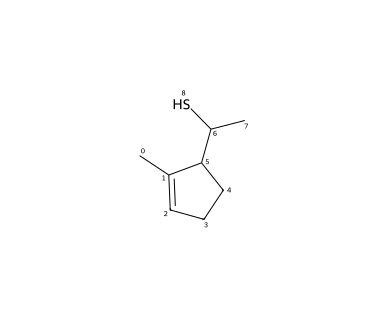 CC1=CCCC1C(C)S